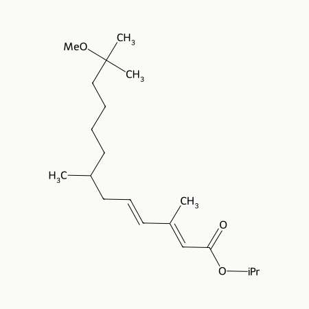 COC(C)(C)CCCCC(C)C/C=C/C(C)=C/C(=O)OC(C)C